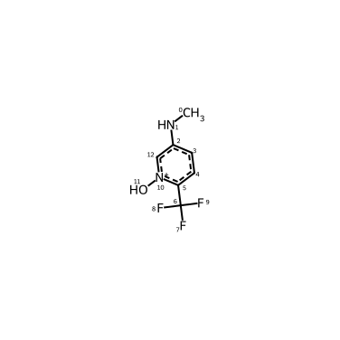 CNc1ccc(C(F)(F)F)[n+](O)c1